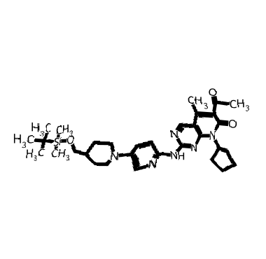 CC(=O)c1c(C)c2cnc(Nc3ccc(N4CCC(CO[Si](C)(C)C(C)(C)C)CC4)cn3)nc2n(C2CCCC2)c1=O